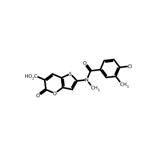 Cc1cc(C(=O)N(C)c2cc3oc(=O)c(C(=O)O)cc3s2)ccc1Cl